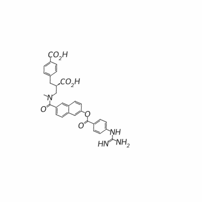 CN(C[C@@H](Cc1ccc(C(=O)O)cc1)C(=O)O)C(=O)c1ccc2cc(OC(=O)c3ccc(NC(=N)N)cc3)ccc2c1